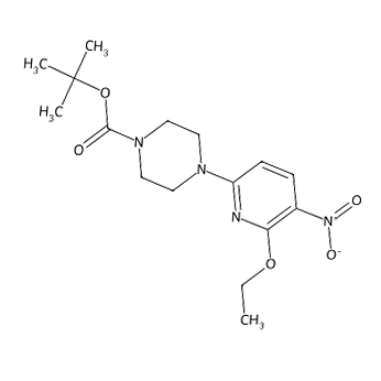 CCOc1nc(N2CCN(C(=O)OC(C)(C)C)CC2)ccc1[N+](=O)[O-]